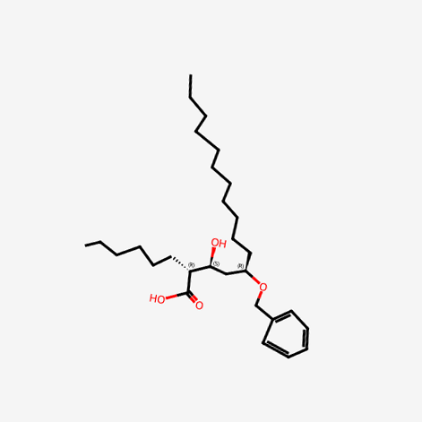 CCCCCCCCCCC[C@H](C[C@H](O)[C@@H](CCCCCC)C(=O)O)OCc1ccccc1